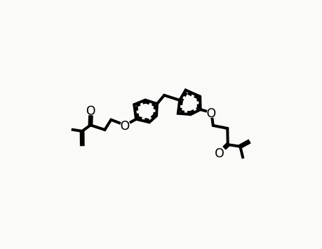 C=C(C)C(=O)CCOc1ccc(Cc2ccc(OCCC(=O)C(=C)C)cc2)cc1